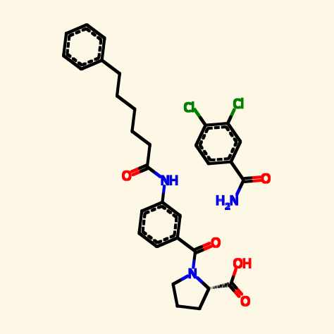 NC(=O)c1ccc(Cl)c(Cl)c1.O=C(CCCCCc1ccccc1)Nc1cccc(C(=O)N2CCC[C@H]2C(=O)O)c1